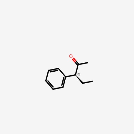 CC[C@H](C(C)=O)c1ccccc1